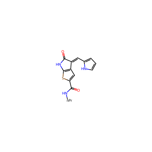 CCCNC(=O)c1cc2c(s1)NC(=O)/C2=C/c1ccc[nH]1